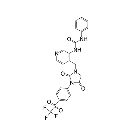 O=C(Nc1ccccc1)Nc1cnccc1CN1CC(=O)N(c2ccc(S(=O)(=O)C(F)(F)F)cc2)C1=O